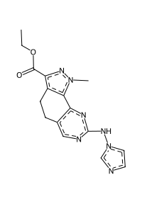 CCOC(=O)c1nn(C)c2c1CCc1cnc(Nn3ccnc3)nc1-2